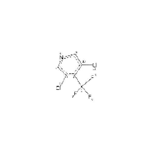 FC(F)(F)c1c(Cl)cncc1Cl